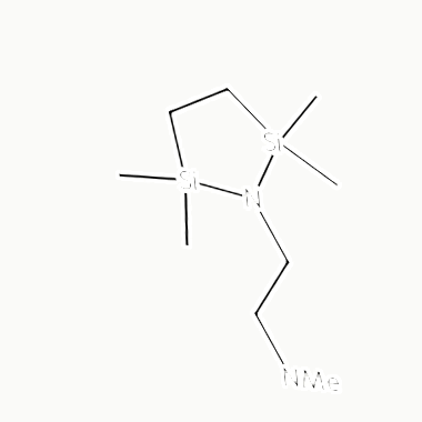 CNCCN1[Si](C)(C)CC[Si]1(C)C